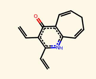 C=Cc1[nH]c2c(c(=O)c1C=C)C=CCC=C2